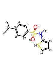 CC(C)c1ccc(S(=O)(=O)N(C)c2cccs2)cc1